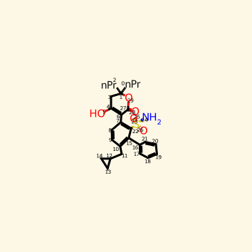 CCCC1(CCC)CC(O)=C(c2ccc(CC3CC3)c(-c3ccccc3)c2S(N)(=O)=O)C(=O)O1